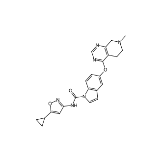 CN1CCc2c(ncnc2Oc2ccc3c(ccn3C(=O)Nc3cc(C4CC4)on3)c2)C1